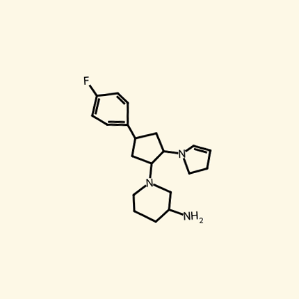 NC1CCCN(C2CC(c3ccc(F)cc3)CC2N2C=CCC2)C1